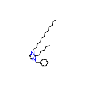 CCCCCCCCCCCC[n+]1ccn(Cc2ccccc2)c1CCCCC